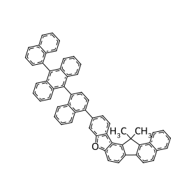 CC1(C)c2c(ccc3ccccc23)-c2ccc3oc4cc(-c5ccc(-c6c7ccccc7c(-c7cccc8ccccc78)c7ccccc67)c6ccccc56)ccc4c3c21